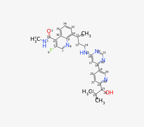 CNC(=O)c1c(F)cnc2c(C(C)CCNc3cc(-c4ccc(C(O)C(C)C)nc4)ncn3)cccc12